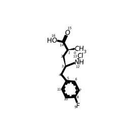 C[C@@H](C[C@H](Cc1ccc(F)cc1)NCl)C(=O)O